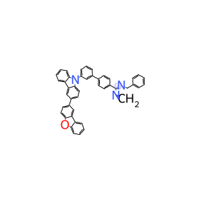 C=N/C(=N\Cc1ccccc1)c1ccc(-c2cccc(-n3c4ccccc4c4cc(-c5ccc6oc7ccccc7c6c5)ccc43)c2)cc1